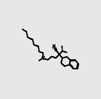 CCCCCCCCN(C)CCCC(C#N)(C(C)C)C1CCc2ccccc2C1